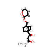 CCOC(=O)C(=O)CC(=O)C12CCC(COC3CCCCO3)(CC1)C2